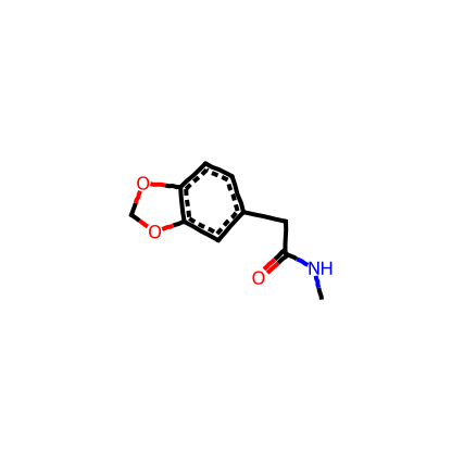 CNC(=O)Cc1ccc2c(c1)OCO2